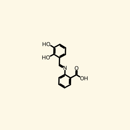 O=C(O)c1ccccc1N=Cc1cccc(O)c1O